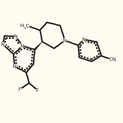 CC1CCN(c2ccc(C#N)cn2)C[C@H]1c1cc(C(F)F)nc2ncnn12